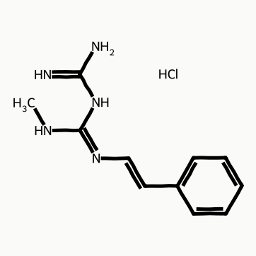 CNC(=NC=Cc1ccccc1)NC(=N)N.Cl